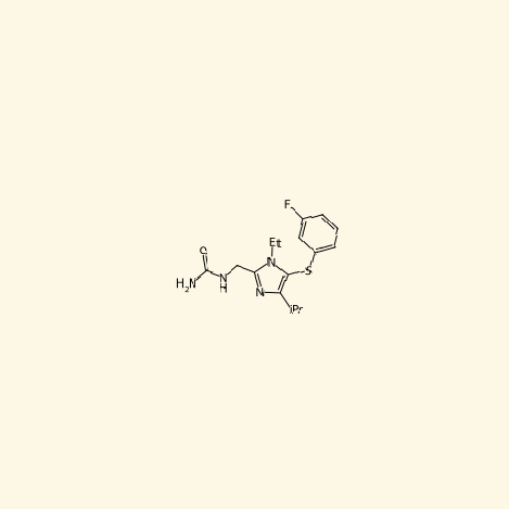 CCn1c(CNC(N)=O)nc(C(C)C)c1Sc1cccc(F)c1